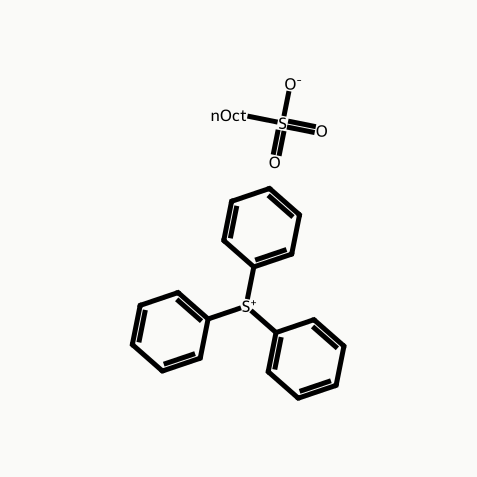 CCCCCCCCS(=O)(=O)[O-].c1ccc([S+](c2ccccc2)c2ccccc2)cc1